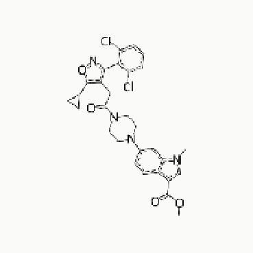 COC(=O)c1cn(C)c2cc(N3CCN(C(=O)Cc4c(-c5c(Cl)cccc5Cl)noc4C4CC4)CC3)ccc12